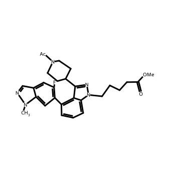 COC(=O)CCCCn1nc(C2CCN(C(C)=O)CC2)c2c(-c3cc4c(cnn4C)cc3F)cccc21